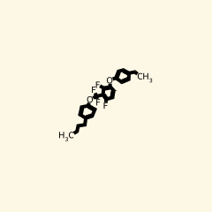 CCCCc1ccc(OC(F)(F)c2c(F)c[c]c(Oc3ccc(CC)cc3)c2F)cc1